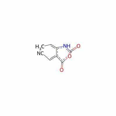 C/C=c1/[nH]c(=O)oc(=O)/c1=C/C#N